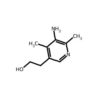 Cc1ncc(CCO)c(C)c1N